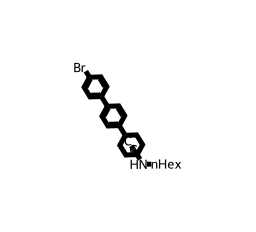 CCCCCCNC12CCC(c3ccc(-c4ccc(Br)cc4)cc3)(CC1)CC2